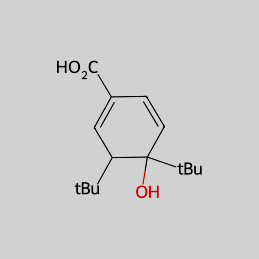 CC(C)(C)C1C=C(C(=O)O)C=CC1(O)C(C)(C)C